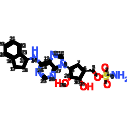 NS(=O)(=O)OC[C@H]1C[C@@H](n2cnc3c(N[C@H]4CCc5ccccc54)ncnc32)[C@H](O)[C@@H]1O